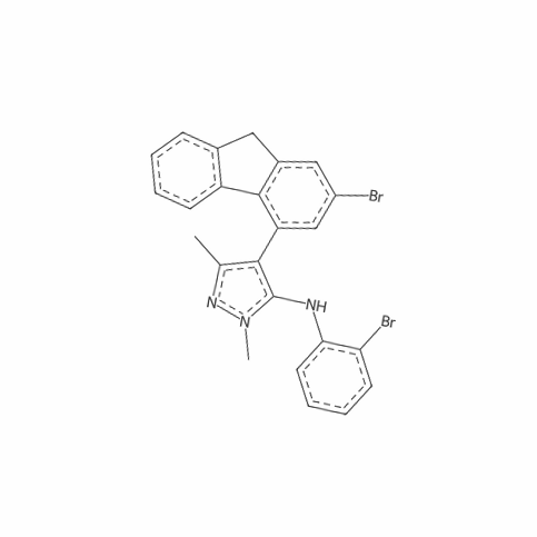 Cc1nn(C)c(Nc2ccccc2Br)c1-c1cc(Br)cc2c1-c1ccccc1C2